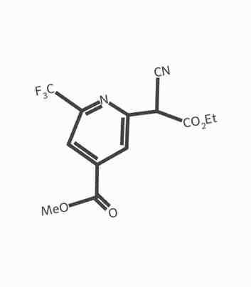 CCOC(=O)C(C#N)c1cc(C(=O)OC)cc(C(F)(F)F)n1